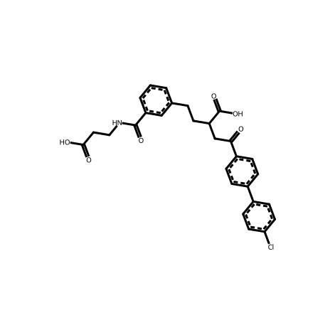 O=C(O)CCNC(=O)c1cccc(CCC(CC(=O)c2ccc(-c3ccc(Cl)cc3)cc2)C(=O)O)c1